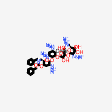 CO[C@@H]1[C@@H](O[C@@H]2O[C@H](CO)[C@@H](O[C@H]3O[C@@H](CN=[N+]=[N-])[C@@H](O)[C@H](O)[C@H]3N=[N+]=[N-])[C@H]2O)[C@H](O[C@H]2O[C@H](CN(Cc3ccccc3)C(=O)OCc3ccccc3)CC[C@H]2N=[N+]=[N-])[C@@H](N=[N+]=[N-])C[C@H]1N=[N+]=[N-]